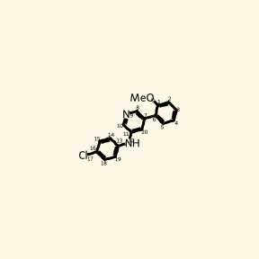 COc1ccccc1-c1cncc(Nc2ccc(Cl)cc2)c1